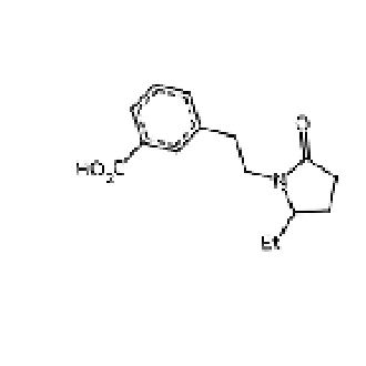 CCC1CCC(=O)N1CCc1cccc(C(=O)O)c1